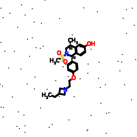 CCC1CN(CCOc2ccc([C@H]3c4ccc(O)cc4[C@@H](C)CN3S(C)(=O)=O)cc2)C1